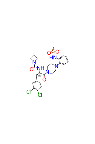 CS(=O)(=O)Nc1ccccc1N1CCN(C(=O)[C@@H](Cc2ccc(Cl)c(Cl)c2)NC(=O)N2C[CH]C2)CC1